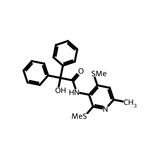 CSc1cc(C)nc(SC)c1NC(=O)C(O)(c1ccccc1)c1ccccc1